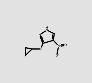 O=[N+]([O-])c1c[nH]nc1OC1CC1